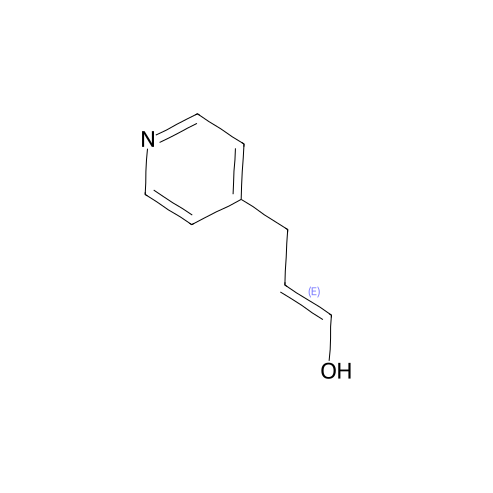 O/C=C/Cc1ccncc1